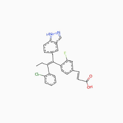 CC/C(=C(\c1ccc2[nH]ncc2c1)c1ccc(C=CC(=O)O)cc1F)c1ccccc1Cl